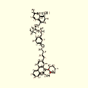 CC(C)(C)[Si](C)(C)O[C@@H](CNCc1cccc(OCCC=Cc2ccc(-c3ccccc3)c(N(C(=O)O)C3CN4CCC3CC4)c2)c1)c1ccc(O)c2[nH]c(=O)ccc12